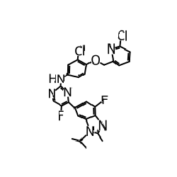 Cc1nc2c(F)cc(-c3nc(Nc4ccc(OCc5cccc(Cl)n5)c(Cl)c4)ncc3F)cc2n1C(C)C